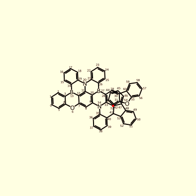 c1ccc2c(c1)Oc1cc3c4c5c1B2c1ccccc1N5c1ccccc1B4c1cc2c(cc1N3c1ccccc1C1c3ccccc3-c3ccccc31)oc1ccccc12